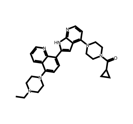 CCN1CCN(c2ccc(-c3cc4c(N5CCN(C(=O)C6CC6)CC5)ccnc4[nH]3)c3ncccc23)CC1